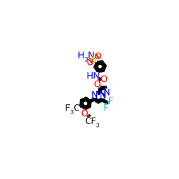 NS(=O)(=O)c1cccc(NC(=O)Oc2cnn3c(C(F)F)cc(-c4ccc(C(F)(F)F)c(OCC(F)(F)F)c4)nc23)c1